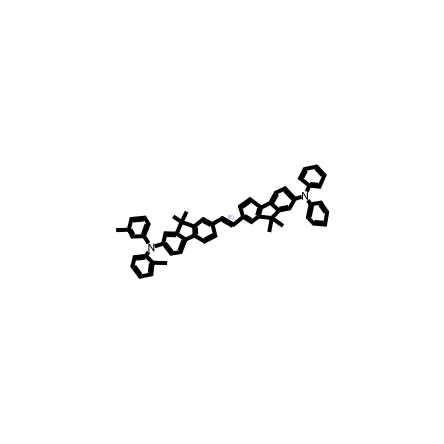 Cc1cccc(N(c2ccc3c(c2)C(C)(C)c2cc(/C=C/c4ccc5c(c4)C(C)(C)c4cc(N(c6ccccc6)c6ccccc6)ccc4-5)ccc2-3)c2ccccc2C)c1